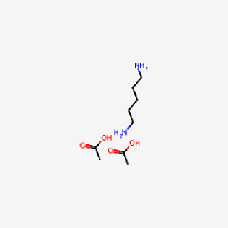 CC(=O)O.CC(=O)O.NCCCCCN